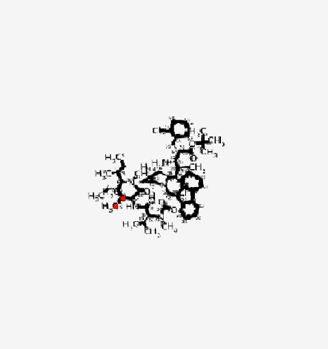 CC[C@H](C)[C@@H]([C@@H](CC)OC)N(C)C(=O)[C@@H](NC(=O)[C@H](C(C)C)N(C)C(=O)O[C@@H](C1c2ccccc2-c2ccccc21)N1[C@H]2C[C@H]2C[C@H]1[C@H](OC)[C@H](C)[C@H](N)[C@H](Cc1ccccc1Cl)C(=O)OC(C)(C)C)C(C)C